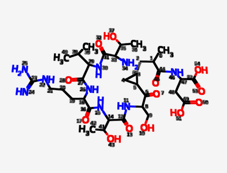 CC(C[C@H]1CC1C(=O)C(CO)NC(=O)C(NC(=O)C(CCCNC(=N)N)NC(=O)C(NC(=O)C(N)C(C)O)C(C)C)C(C)O)C(=O)NC(CC(=O)O)C(=O)O